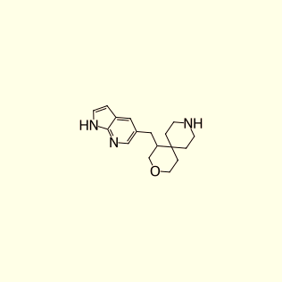 c1cc2cc(CC3COCCC34CCNCC4)cnc2[nH]1